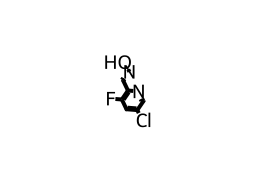 O/N=C/c1ncc(Cl)cc1F